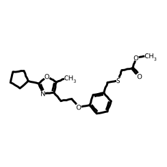 COC(=O)CSCc1cccc(OCCc2nc(C3CCCC3)oc2C)c1